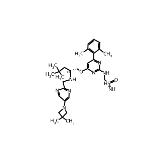 Cc1cccc(C)c1-c1cc(OC[C@@H](CC(C)(C)C)NCc2ncc(N3CC(C)(C)C3)cn2)nc(NC[SH](=N)=O)n1